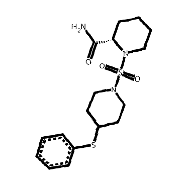 NC(=O)[C@@H]1CCCCN1S(=O)(=O)N1CCC(Sc2ccccc2)CC1